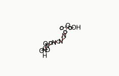 O=C1CCC(N2Cc3cc(N4CC5(CCN(CC6CCN(c7ccc([C@@H]8c9ccc(O)cc9OC[C@@H]8c8ccccc8)cc7)CC6)CC5)C4)ccc3C2=O)C(=O)N1